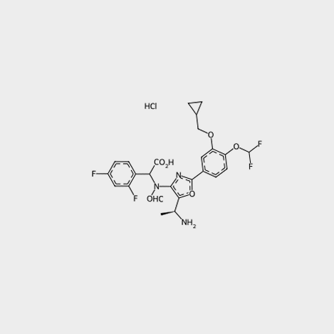 C[C@H](N)c1oc(-c2ccc(OC(F)F)c(OCC3CC3)c2)nc1N(C=O)C(C(=O)O)c1ccc(F)cc1F.Cl